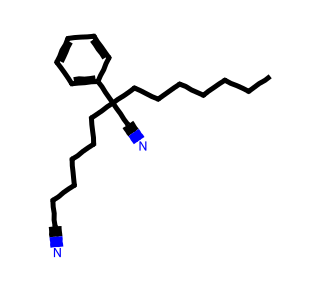 CCCCCCCC(C#N)(CCCCCC#N)c1ccccc1